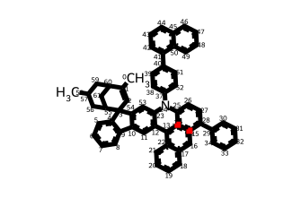 CC1=CC2(c3ccccc3-c3cc(-c4cccc5ccccc45)c(N(c4ccc(-c5ccccc5)cc4)c4ccc(-c5cccc6ccccc56)cc4)cc32)C2CC(C)CC1C2